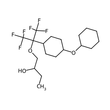 CCC(O)COC(C1CCC(OC2CCCCC2)CC1)(C(F)(F)F)C(F)(F)F